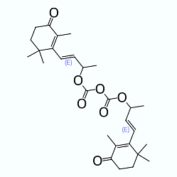 CC1=C(/C=C/C(C)OC(=O)OC(=O)OC(C)/C=C/C2=C(C)C(=O)CCC2(C)C)C(C)(C)CCC1=O